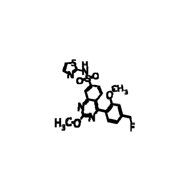 COc1nc(-c2ccc(CF)cc2OC)c2ccc(S(=O)(=O)Nc3nccs3)cc2n1